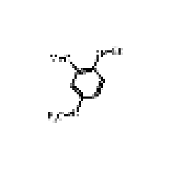 CCOc1ccc(OC(F)(F)F)cc1OC